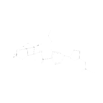 CCCSc1nc(N2CCC(CC(=O)O)C2)ccc1C(=O)N[C@H]1C2CC3C[C@H]1C[C@@](O)(C3)C2